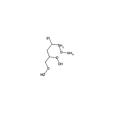 CCC(CC(COO)OO)[SiH2]O[SiH3]